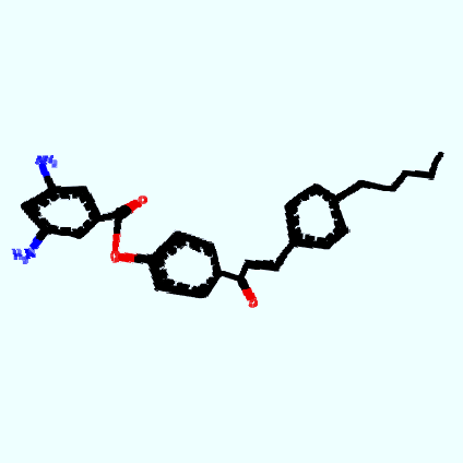 CCCCCc1ccc(C=CC(=O)c2ccc(OC(=O)c3cc(N)cc(N)c3)cc2)cc1